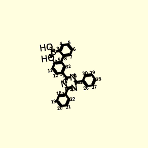 OB(O)c1ccccc1-c1cccc(-c2nc(-c3ccccc3)nc(-c3ccccc3)n2)c1